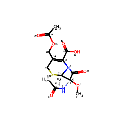 CO[C@]1(NC(C)=O)C(=O)N2C(C(=O)O)=C(COC(C)=O)CS[C@@H]21